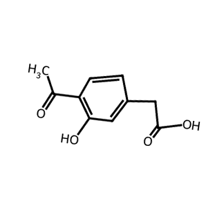 CC(=O)c1ccc(CC(=O)O)cc1O